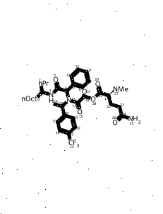 CCCCCCCCC(CCC)NC(=O)C(c1ccccc1)N(C(=O)C(=O)OC(=O)[C@@H](CCC(N)=O)NC)C(C)c1ccc(C(F)(F)F)cc1